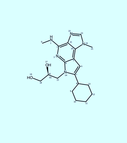 CNc1nc2c(cc(C3CCCCC3)n2C[C@H](O)CO)c2c1ncn2C